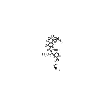 CCC1c2cc(OCCCN)ccc2NC2c3cc4c(c(=O)n3CC12)COC(=O)[C@]4(O)CC